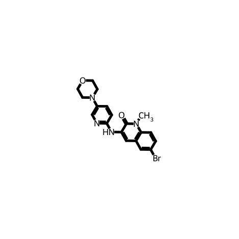 Cn1c(=O)c(Nc2ccc(N3CCOCC3)cn2)cc2cc(Br)ccc21